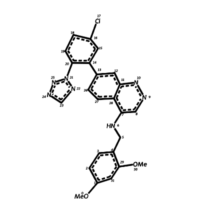 COc1ccc(CNc2cnnc3cc(-c4cc(Cl)ccc4-n4ncnn4)ccc23)c(OC)c1